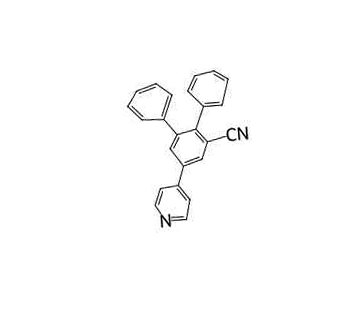 N#Cc1cc(-c2ccncc2)cc(-c2ccccc2)c1-c1ccccc1